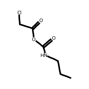 CCCNC(=O)OC(=O)CCl